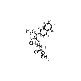 CCN(CCNC(=O)OC)[C@@H](C)c1ccc2ccccc2c1